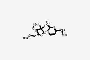 C=C1N=C(NC(C)(C)C)C=CN1[C@@H]1O[C@H](COC(C)(C)C)[C@H](OC(C)(C)C)C1(F)F